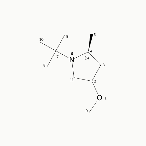 COC1C[C@H](C)N(C(C)(C)C)C1